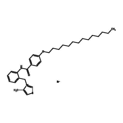 CCCCCCCCCCCCCCOc1ccc(C(=O)Nc2ccccc2C[n+]2cscc2C)cc1.[Br-]